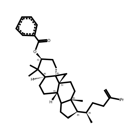 C=C(CC[C@@H](C)[C@H]1CCC2[C@@H]3CC[C@H]4C(C)(C)[C@@H](OC(=O)c5ccccc5)CC[C@@]45C[C@@]35CC[C@@]21C)C(C)C